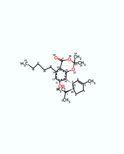 C=C(C)[C@@H]1CCC(C)=C[C@H]1c1c(O)cc(CCCCC)c2c1OC(C)(C)OC2=O